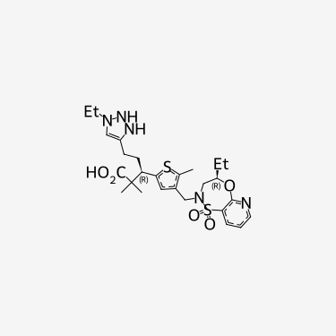 CC[C@@H]1CN(Cc2cc([C@H](CCC3=CN(CC)NN3)C(C)(C)C(=O)O)sc2C)S(=O)(=O)c2cccnc2O1